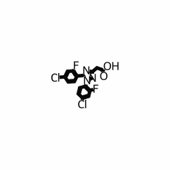 O=C(O)Cc1nc(-c2ccc(Cl)cc2F)n(-c2ccc(Cl)cc2F)n1